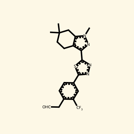 Cn1nc(-c2nnc(-c3ccc(CC=O)c(C(F)(F)F)c3)s2)c2c1CC(C)(C)CC2